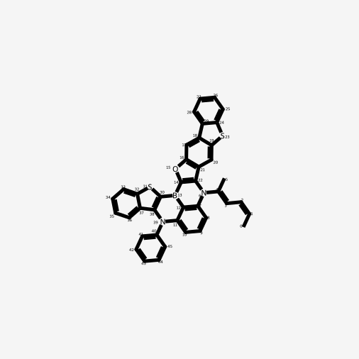 C/C=C\C=C(/C)N1c2cccc3c2B(c2oc4cc5c(cc4c21)sc1ccccc15)c1sc2ccccc2c1N3c1ccccc1